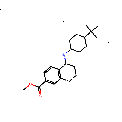 COC(=O)c1ccc2c(c1)CCCC2N[C@H]1CC[C@H](C(C)(C)C)CC1